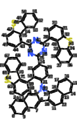 c1ccc2cc3c(cc2c1)c1ccc2ccccc2c1n3-c1ccc(-c2nc(-c3cccc4sc5ccccc5c34)nc(-c3cccc4sc5ccccc5c34)n2)cc1-c1cccc2sc3ccccc3c12